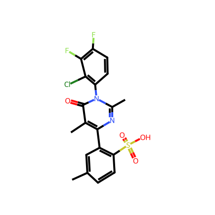 Cc1ccc(S(=O)(=O)O)c(-c2nc(C)n(-c3ccc(F)c(F)c3Cl)c(=O)c2C)c1